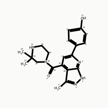 Cc1n[nH]c2nc(-c3ccc(O)cc3)cc(C(=O)N3CCNC(C)(C)C3)c12